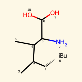 CC[C@@H](C)CC(C)C(C)C(N)C(O)O